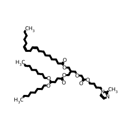 CCCCC/C=C\C/C=C\CCCCCCCC(=O)OCC(COCC(=O)OCCCCn1ccnc1C)COC(=O)CCC(OCCCCCCCC)OCCCCCCCC